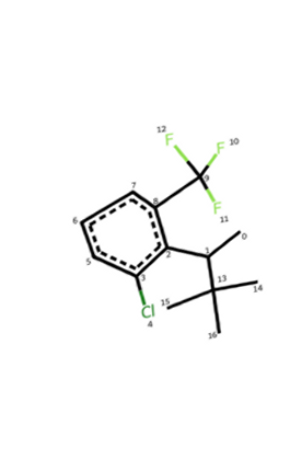 CC(c1c(Cl)cccc1C(F)(F)F)C(C)(C)C